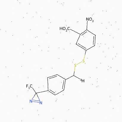 [3H]C(SSc1ccc([N+](=O)[O-])c(C(=O)O)c1)c1ccc(C2(C(F)(F)F)N=N2)cc1